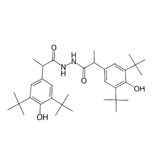 CC(C(=O)NNC(=O)C(C)c1cc(C(C)(C)C)c(O)c(C(C)(C)C)c1)c1cc(C(C)(C)C)c(O)c(C(C)(C)C)c1